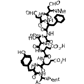 CCCCCC(NC(=O)C(Cc1ccc(O)cc1)NC(=O)C(CCC(=O)O)NC(=O)C(CCC(=O)O)NC(=O)C(NC(=O)C(CCCCC)NC(=O)C(Cc1ccccc1)NC(=O)C(CC=O)NC(=O)C(CC=O)NC)C(C)O)C(C)=O